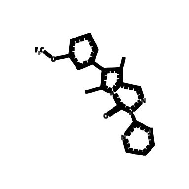 Cc1c(-c2cccc(OC(F)(F)F)c2)c(C)n2c(=O)n(-c3ncccn3)ncc12